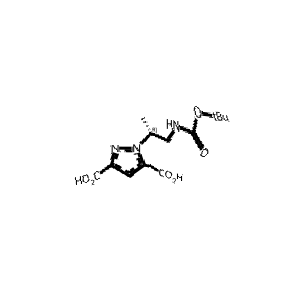 C[C@H](CNC(=O)OC(C)(C)C)n1nc(C(=O)O)cc1C(=O)O